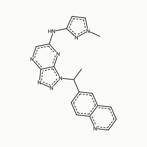 CC(c1ccc2ncccc2c1)n1nnc2ncc(Nc3ccn(C)n3)nc21